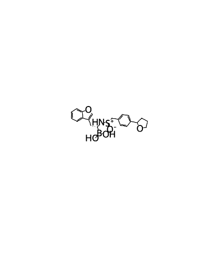 [O-][S+](Cc1ccc(C2CCCO2)cc1)N[C@@H](Cc1coc2ccccc12)B(O)O